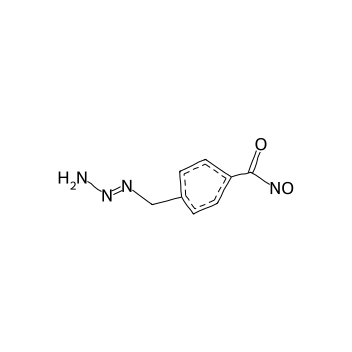 NN=NCc1ccc(C(=O)N=O)cc1